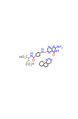 Nc1nc2ncc(CNc3ccc(C(=O)NC(CCC(=O)O)C(=O)O)cc3)nc2c(=O)[nH]1.c1ccc2c(c1)ccc1cncnc12